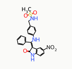 CS(=O)(=O)NCc1ccc(NC(=C2C(=O)Nc3ccc([N+](=O)[O-])cc32)c2ccccc2)cc1